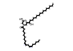 CCCCC/C=C\C/C=C\CCCCCCCC(=O)N(CCO)CC(O)C(O)CCCCCCCCCCCCCCC